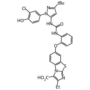 CCc1nc2sc3cc(Oc4ccccc4NC(=O)Nc4cc(C(C)(C)C)nn4-c4ccc(O)c(Cl)c4)ccc3n2c1C(=O)O